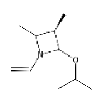 C=CN1C(C)[C@@H](C)C1OC(C)C